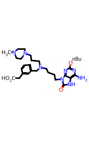 CCCCOc1nc(N)c2[nH]c(=O)n(CCCCN(CCCN3CCN(C)CC3)Cc3cccc(CC(=O)O)c3)c2n1